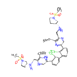 COc1nc(-c2cccc(-c3cccc(-c4cnc(CN[C@@H]5CCN(S(C)(=O)=O)C5)c(OC)n4)c3Cl)c2Cl)cnc1CN[C@@H]1CCN(S(C)(=O)=O)C1